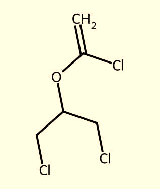 C=C(Cl)OC(CCl)CCl